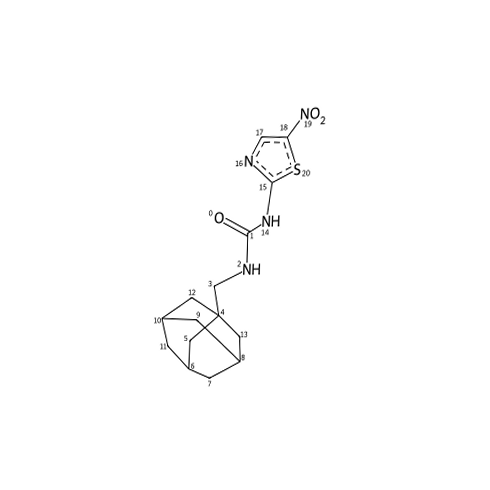 O=C(NCC12CC3CC(CC(C3)C1)C2)Nc1ncc([N+](=O)[O-])s1